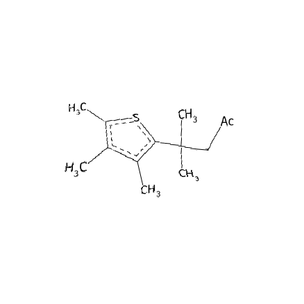 CC(=O)CC(C)(C)c1sc(C)c(C)c1C